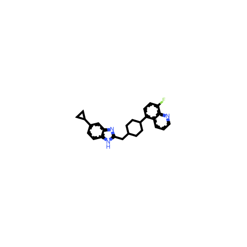 Fc1ccc(C2CCC(Cc3nc4cc(C5CC5)ccc4[nH]3)CC2)c2cccnc12